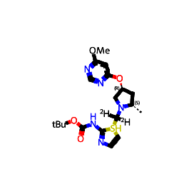 [2H]C([2H])(N1C[C@H](Oc2cc(OC)ncn2)C[C@@H]1C)[SH]1C=CN=C1NC(=O)OC(C)(C)C